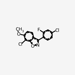 COc1ccc2c(-c3ccc(Cl)cc3F)noc2c1Cl